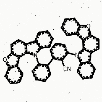 N#Cc1c(-c2ccccc2-n2c3ccccc3c3ccc4oc5ccccc5c4c32)cccc1-n1c2ccccc2c2ccc3oc4ccccc4c3c21